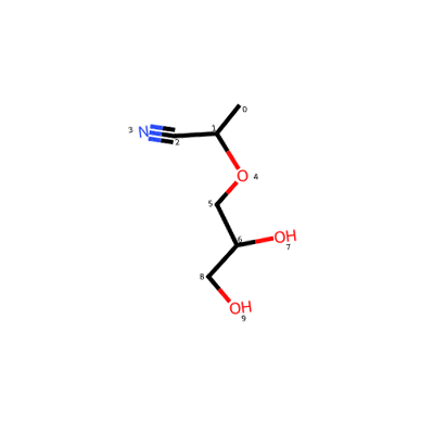 CC(C#N)OCC(O)CO